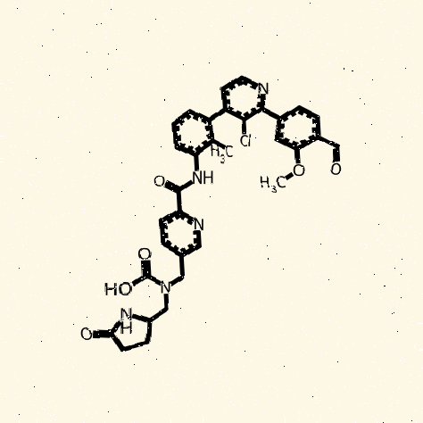 COc1cc(-c2nccc(-c3cccc(NC(=O)c4ccc(CN(CC5CCC(=O)N5)C(=O)O)cn4)c3C)c2Cl)ccc1C=O